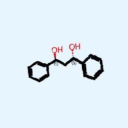 O[C@@H](C[C@H](O)c1ccccc1)c1ccccc1